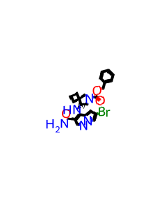 NC(=O)c1cnn2cc(Br)cc2c1N[C@@H]1CN(C(=O)OCc2ccccc2)CC12CCC2